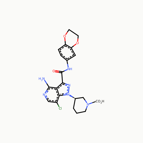 Nc1ncc(Cl)c2c1c(C(=O)Nc1ccc3c(c1)OCCO3)nn2[C@@H]1CCCN(C(=O)O)C1